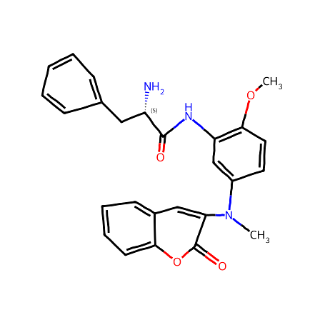 COc1ccc(N(C)c2cc3ccccc3oc2=O)cc1NC(=O)[C@@H](N)Cc1ccccc1